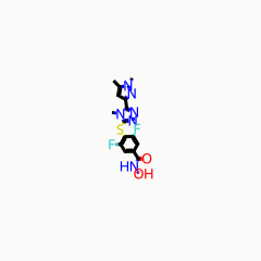 Cc1cc(-c2nnc(Sc3c(F)cc(C(=O)NO)cc3F)n2C)nn1C